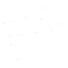 C=CC.C=CC.C=CC.C=CC.CCC(C)(O)O